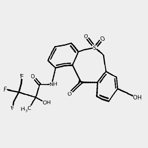 CC(O)(C(=O)Nc1cccc2c1C(=O)c1ccc(O)cc1CS2(=O)=O)C(F)(F)F